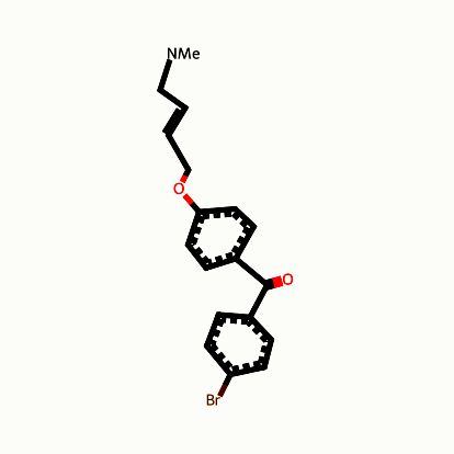 CNC/C=C/COc1ccc(C(=O)c2ccc(Br)cc2)cc1